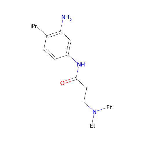 CCN(CC)CCC(=O)Nc1ccc(C(C)C)c(N)c1